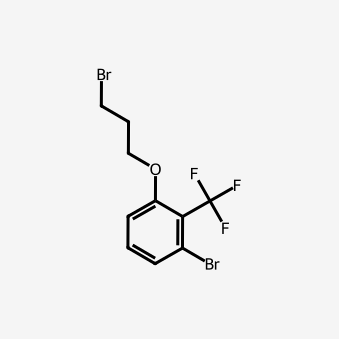 FC(F)(F)c1c(Br)cccc1OCCCBr